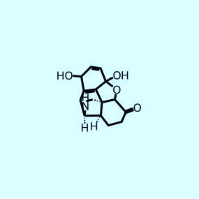 O=C1CC[C@H]2[C@H]3CC4=C5C(O)(C=CC4O)OC1[C@]52CCN3